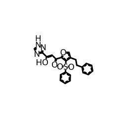 O=C(C=C(O)c1nc[nH]n1)c1occ(CCc2ccccc2)c1S(=O)(=O)c1ccccc1